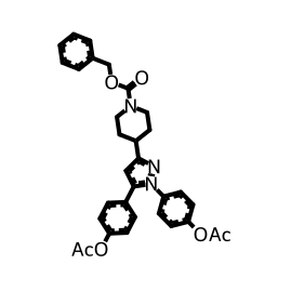 CC(=O)Oc1ccc(-c2cc(C3CCN(C(=O)OCc4ccccc4)CC3)nn2-c2ccc(OC(C)=O)cc2)cc1